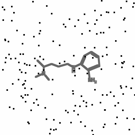 CC(CCCNc1ccccc1N)N(C)C